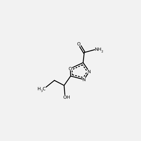 CCC(O)c1nnc(C(N)=O)o1